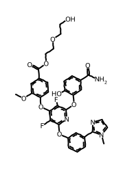 COc1cc(C(=O)OCCOCCO)ccc1Oc1c(F)c(Oc2cccc(-c3nccn3C)c2)nc(Oc2cc(C(N)=O)ccc2O)c1F